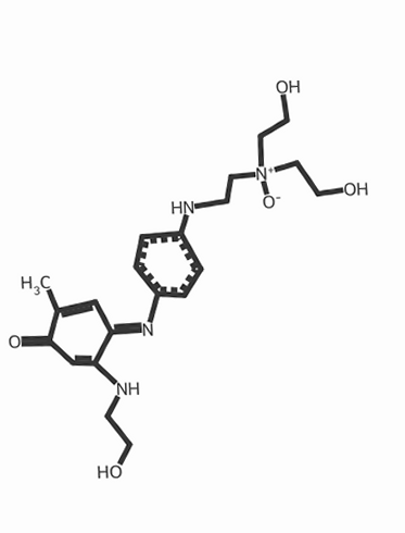 CC1=CC(=Nc2ccc(NCC[N+]([O-])(CCO)CCO)cc2)C(NCCO)=CC1=O